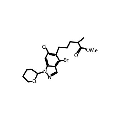 COC(=O)C(C)CCCc1c(Cl)cc2c(cnn2C2CCCCO2)c1Br